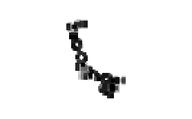 CS(=O)(=O)Nc1cc(OC[C@@H](O)CN[C@H]2CC[C@H](c3ccc(OCC(=O)O)cc3)CC2)ccc1O